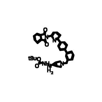 CC(C)(C)OC(N)=O.NC1C2CN(Cc3cccc(-c4ccc(-c5cccc(N6C(=O)c7ccccc7C6=O)n5)cc4)c3)CC12